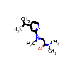 CC(C)c1ccnc(N(C)CC(=O)N(C)C)c1